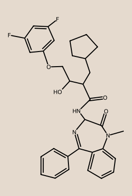 CN1C(=O)C(NC(=O)C(CC2CCCC2)C(O)COc2cc(F)cc(F)c2)N=C(c2ccccc2)c2ccccc21